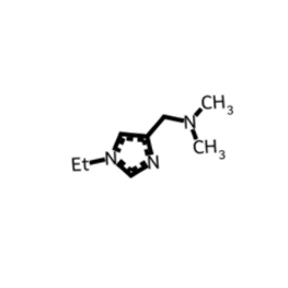 CCn1cnc(CN(C)C)c1